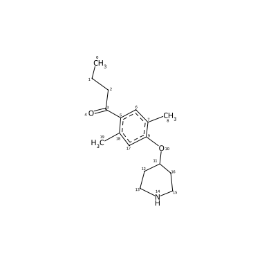 CCCC(=O)c1cc(C)c(OC2CCNCC2)cc1C